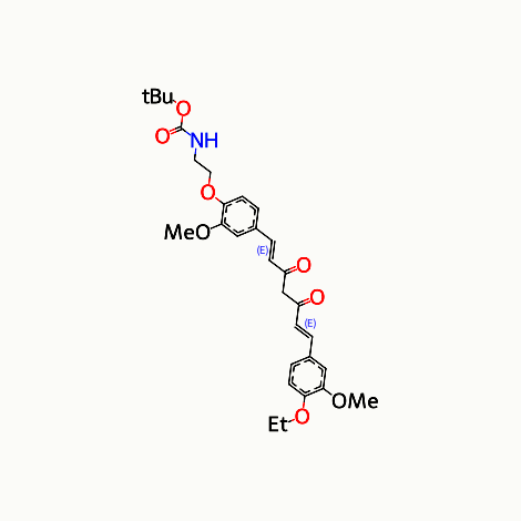 CCOc1ccc(/C=C/C(=O)CC(=O)/C=C/c2ccc(OCCNC(=O)OC(C)(C)C)c(OC)c2)cc1OC